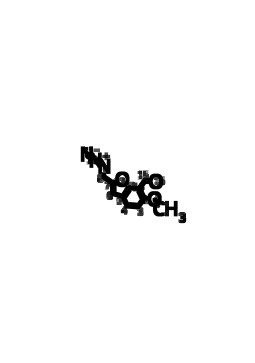 COc1ccc2cc(CN=[N+]=[N-])oc2c1C=O